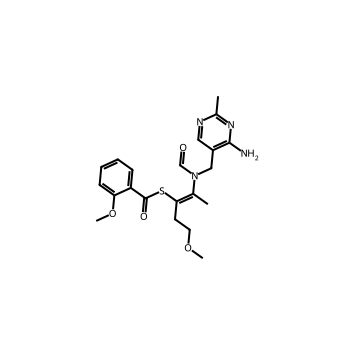 COCC/C(SC(=O)c1ccccc1OC)=C(\C)N(C=O)Cc1cnc(C)nc1N